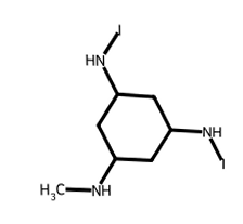 CNC1CC(NI)CC(NI)C1